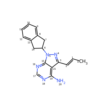 CC=Cc1nn(C2Cc3ccccc3C2)c2ncnc(N)c12